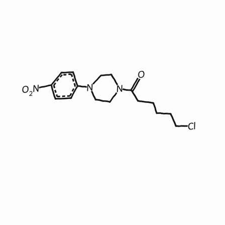 O=C(CCCCCCl)N1CCN(c2ccc([N+](=O)[O-])cc2)CC1